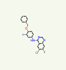 Fc1cc2ncnc(Nc3ccc(OCc4ccccc4)c(I)c3)c2cc1Cl